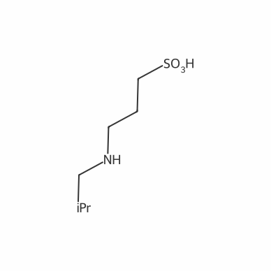 CC(C)CNCCCS(=O)(=O)O